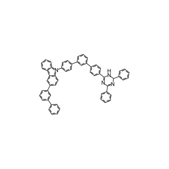 c1ccc(C2=NC(c3ccccc3)NC(c3ccc(-c4cccc(-c5ccc(-n6c7ccccc7c7cc(-c8cccc(-c9ccccc9)c8)ccc76)cc5)c4)cc3)=N2)cc1